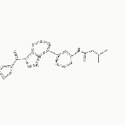 CC(C)CC(=O)Nc1cccc(-c2ccnc3c(C(=O)c4ccsc4)cnn23)c1